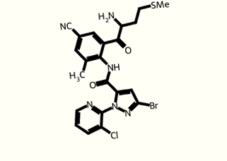 CSCCC(N)C(=O)c1cc(C#N)cc(C)c1NC(=O)c1cc(Br)nn1-c1ncccc1Cl